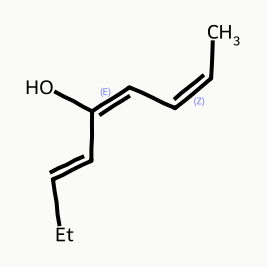 C/C=C\C=C(\O)C=CCC